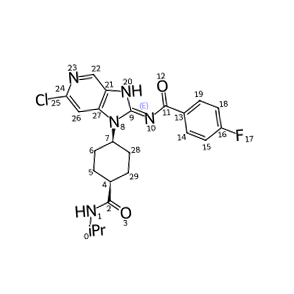 CC(C)NC(=O)[C@H]1CC[C@@H](n2/c(=N/C(=O)c3ccc(F)cc3)[nH]c3cnc(Cl)cc32)CC1